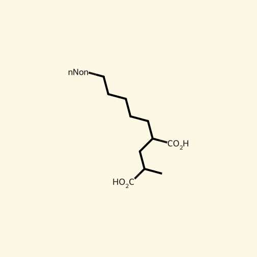 CCCCCCCCCCCCCCC(CC(C)C(=O)O)C(=O)O